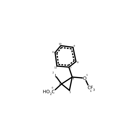 O=C(O)C1(I)CC1(OC(F)(F)F)c1ccccc1